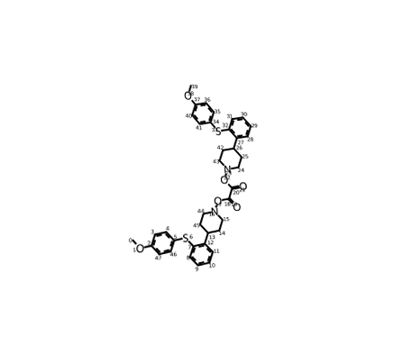 COc1ccc(Sc2ccccc2C2CCN(OC(=O)C(=O)ON3CCC(c4ccccc4Sc4ccc(OC)cc4)CC3)CC2)cc1